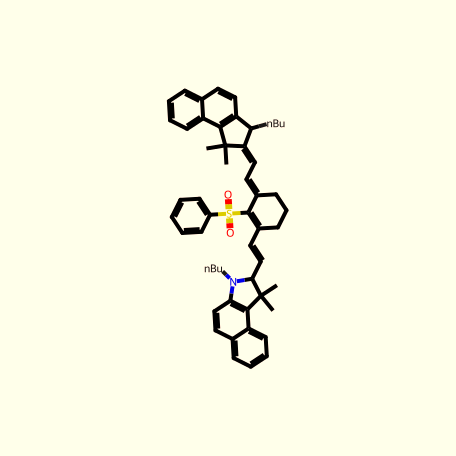 CCCCC1/C(=C/C=C2\CCCC(/C=C/C3N(CCCC)c4ccc5ccccc5c4C3(C)C)=C2S(=O)(=O)c2ccccc2)C(C)(C)c2c1ccc1ccccc21